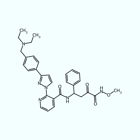 CCN(CC)Cc1ccc(-c2ccn(-c3ncccc3C(=O)NC(CC(=O)C(=O)NOC)c3ccccc3)n2)cc1